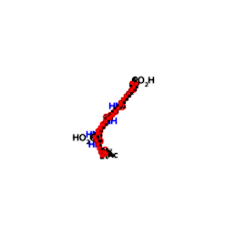 CC[C@@H](CCCCNC(=O)CC[C@H](NC(=O)COCCOCCNC(=O)COCCOCCNC(=O)CCCCCCCCCOc1ccc(C(=O)O)cc1)C(=O)O)C(=O)C[C@@H](C)C(C)=O